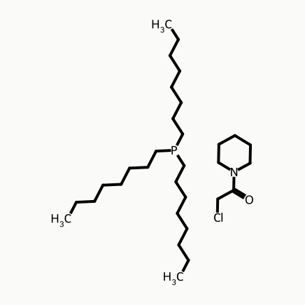 CCCCCCCCP(CCCCCCCC)CCCCCCCC.O=C(CCl)N1CCCCC1